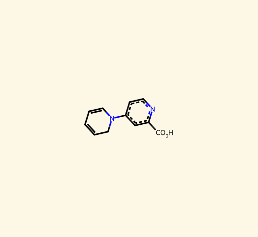 O=C(O)c1cc(N2C=CC=CC2)ccn1